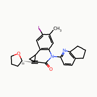 Cc1cc(N(C(=O)C#C[C@@H]2CCCO2)c2ccc3c(n2)CCC3)c(C2CC2)cc1I